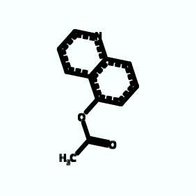 CC(=O)Oc1cccc2ncccc12